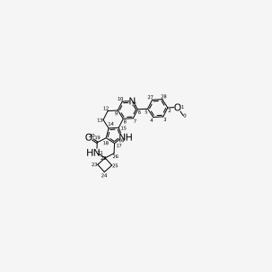 COc1ccc(-c2cc3c(cn2)CCc2c-3[nH]c3c2C(=O)NC2(CCC2)C3)cc1